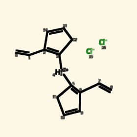 C=CC1=[C]([Hf+2][C]2=C(C=C)C=CC2)CC=C1.[Cl-].[Cl-]